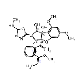 C=C(/C=C\C(=C/C)OC)[C@@]12Oc3cc(OC)cc(OC)c3[C@]1(O)[C@H](O)[C@H](c1nnc(NC)o1)[C@H]2c1ccccc1